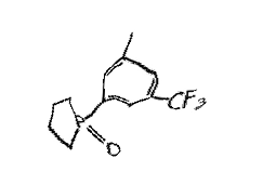 Cc1cc(C(F)(F)F)cc(P2(=O)CCCC2)c1